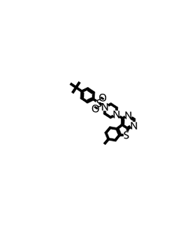 CC1CCc2c(sc3ncnc(N4CCN(S(=O)(=O)c5ccc(C(C)(C)C)cc5)CC4)c23)C1